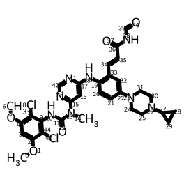 COc1cc(OC)c(Cl)c(NC(=O)N(C)c2cc(Nc3ccc(N4CCN(C5CC5)CC4)cc3C=CC(=O)NC=O)ncn2)c1Cl